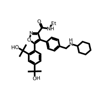 CCNC(=O)c1noc(-c2ccc(C(C)(C)O)cc2C(C)(C)O)c1-c1ccc(CNC2CCCCC2)cc1